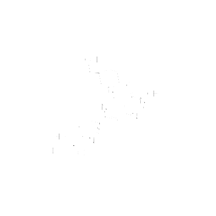 Cn1cnc2cc(-c3ccc(C(C)(C)O)nc3)nc(N3CCCC(CO)C3)c2c1=O